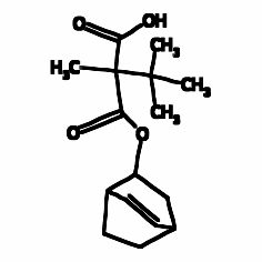 CC(C)(C)C(C)(C(=O)O)C(=O)OC1CC2C=CC1CC2